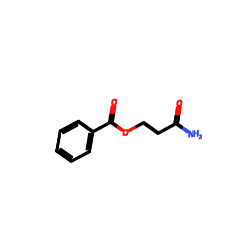 NC(=O)CCOC(=O)c1ccccc1